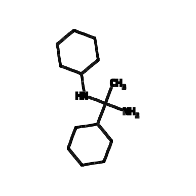 CC(N)(NC1CCCCC1)C1CCCCC1